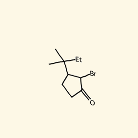 CCC(C)(C)C1CCC(=O)C1Br